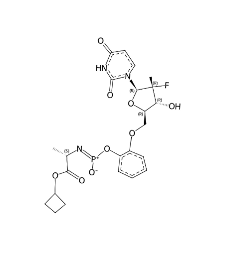 C[C@H](N=[P+]([O-])Oc1ccccc1OC[C@H]1O[C@@H](n2ccc(=O)[nH]c2=O)[C@](C)(F)[C@@H]1O)C(=O)OC1CCC1